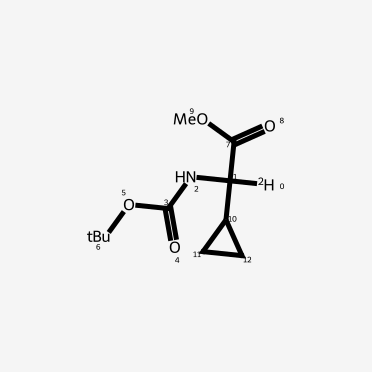 [2H]C(NC(=O)OC(C)(C)C)(C(=O)OC)C1CC1